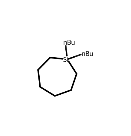 CCCC[Si]1(CCCC)CCCCCC1